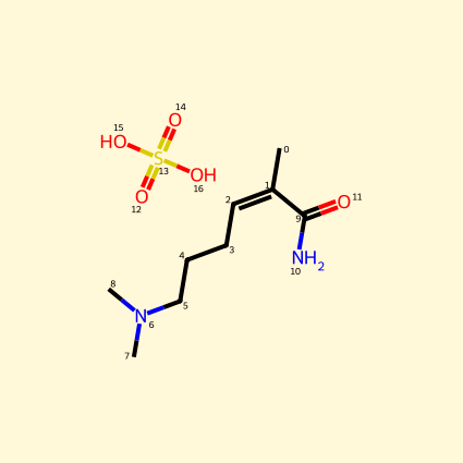 CC(=CCCCN(C)C)C(N)=O.O=S(=O)(O)O